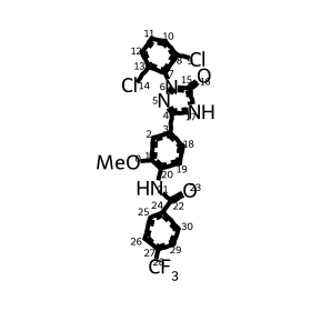 COc1cc(-c2nn(-c3c(Cl)cccc3Cl)c(=O)[nH]2)ccc1NC(=O)c1ccc(C(F)(F)F)cc1